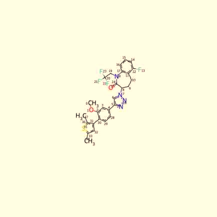 COc1cc(-c2cn(C3CCc4c(F)cccc4N(CC(F)(F)F)C3=O)nn2)ccc1-c1cc(C)sc1C